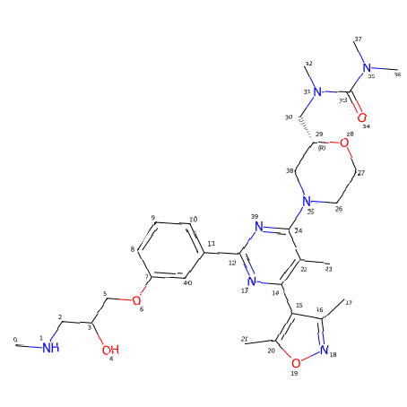 CNCC(O)COc1cccc(-c2nc(-c3c(C)noc3C)c(C)c(N3CCO[C@@H](CN(C)C(=O)N(C)C)C3)n2)c1